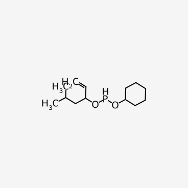 C=CC(CC(C)C)OPOC1CCCCC1